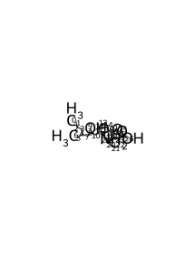 CCCCC(CC)CC(O)Cc1cccc(C(=O)c2ccccc2C(=O)O)c1N